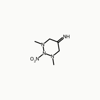 CN1CC(=N)CN(C)N1[N+](=O)[O-]